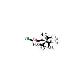 CC(C)[Si](CCOCCl)(C(C)C)C(C)C